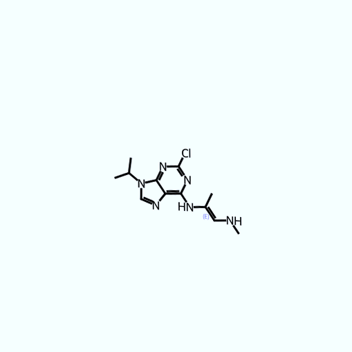 CN/C=C(\C)Nc1nc(Cl)nc2c1ncn2C(C)C